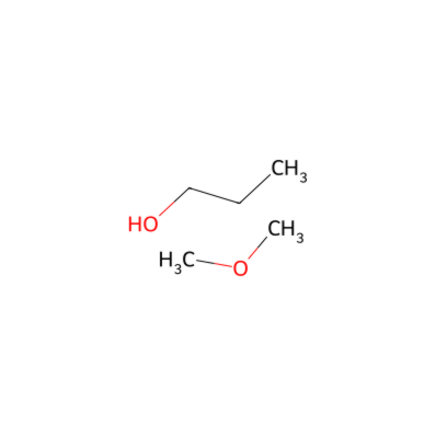 CCCO.COC